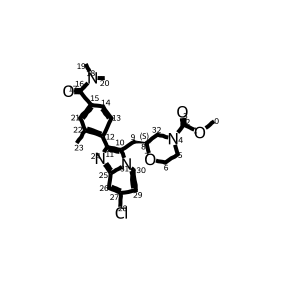 COC(=O)N1CCO[C@@H](Cc2c(-c3ccc(C(=O)N(C)C)cc3C)nc3cc(Cl)ccn23)C1